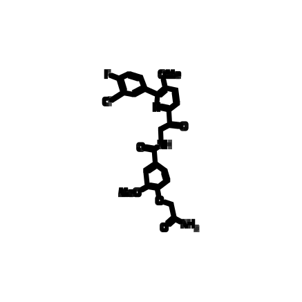 COc1cc(C(=O)NCC(=O)c2ccc(OC)c(-c3ccc(F)c(Cl)c3)n2)ccc1OCC(N)=O